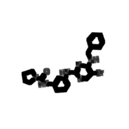 O=C(Nc1cccc(Nc2ncc(Br)c(NCc3ccccc3)n2)c1)N1CCCC1